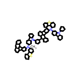 CC1(N(c2ccc3c(c2)-c2c4ccccc4cc4cccc-3c24)c2ccc3c4ccccc4n(-c4cccc(-c5c6ccccc6c6c7c(cccc57)-c5ccc(N(c7ccc8c(c7)N(c7ccccc7)C7C=CC=CC87)c7cccc8sc9ccccc9c78)cc5-6)c4)c3c2)C=c2c(sc3ccccc23)=CC1